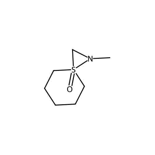 CN1CS12(=O)CCCCC2